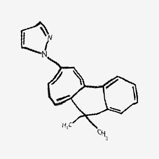 CC1(C)c2ccccc2-c2cc(-n3cccn3)ccc21